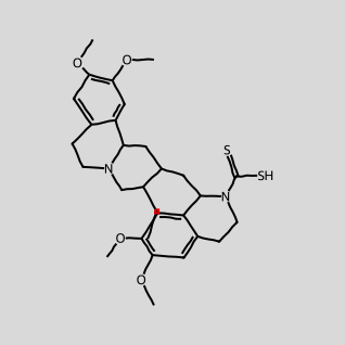 CCC1CN2CCc3cc(OC)c(OC)cc3C2CC1CC1c2cc(OC)c(OC)cc2CCN1C(=S)S